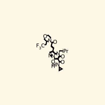 CC(C)Cn1c(=O)c(C(=O)NC2CC2)c(O)n2ncc(C=CC(=O)N3CCOCC3CC(F)(F)F)c12